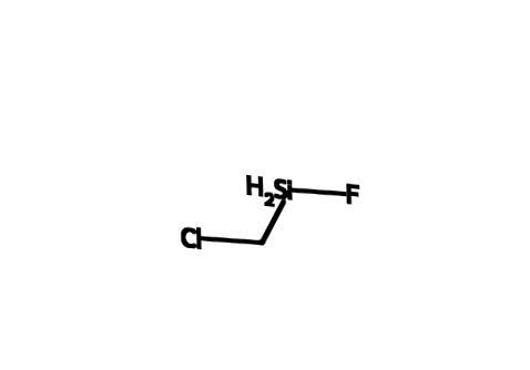 F[SiH2]CCl